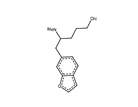 CNC(CCCO)Cc1ccc2ccoc2c1